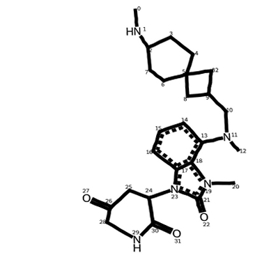 CNC1CCC2(CC1)CC(CN(C)c1cccc3c1n(C)c(=O)n3C1CC(=O)CNC1=O)C2